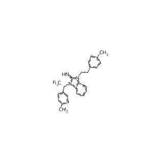 Cc1ccc(CCn2c(=N)n([C@@H](C)c3ccc(C)cc3)c3ccccc32)cc1